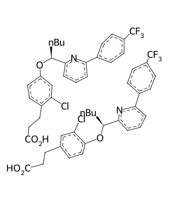 CCCC[C@H](Oc1ccc(CCC(=O)O)c(Cl)c1)c1cccc(-c2ccc(C(F)(F)F)cc2)n1.CCCC[C@H](Oc1ccc(CCC(=O)O)cc1Cl)c1cccc(-c2ccc(C(F)(F)F)cc2)n1